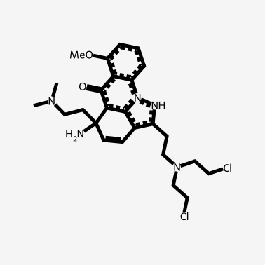 COc1cccc2c1c(=O)c1c3c(c(CCN(CCCl)CCCl)[nH]n32)C=CC1(N)CCN(C)C